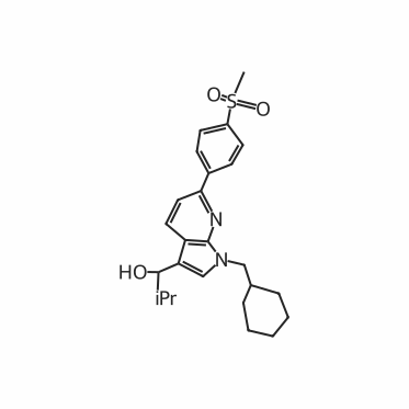 CC(C)C(O)c1cn(CC2CCCCC2)c2nc(-c3ccc(S(C)(=O)=O)cc3)ccc12